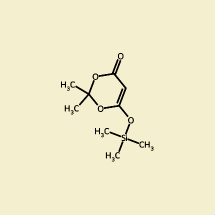 CC1(C)OC(=O)C=C(O[Si](C)(C)C)O1